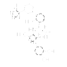 Cc1ccc(-n2nc(C)c(NC(c3cccc(C4CCCC(c5nnn[nH]5)C4)c3O)C(F)(F)C(F)(F)F)c2O)cc1C